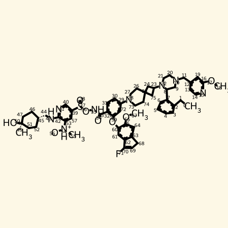 CCc1ccccc1C1CN(Cc2ccnc(OC)c2)CCN1C1CC2(CCN(c3ccc(C(=O)NOS(=O)c4cnc(NC[C@H]5CC[C@](C)(O)CC5)c([NH+](C)[O-])c4)c(Oc4cc5c(cc4OC)CC=C5F)c3)CC2)C1